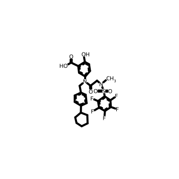 CN(CC(=O)N(Cc1ccc(C2CCCCC2)cc1)c1ccc(O)c(C(=O)O)c1)S(=O)(=O)c1c(F)c(F)c(F)c(F)c1F